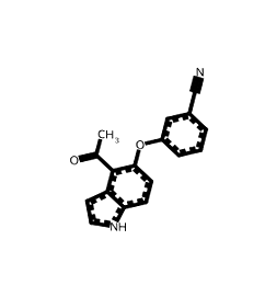 CC(=O)c1c(Oc2cccc(C#N)c2)ccc2[nH]ccc12